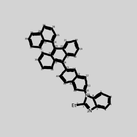 CCc1nc2ccccc2n1-c1ccc2cc(-c3c4ccccc4c(-c4cccc5ccccc45)c4ccccc34)ccc2c1